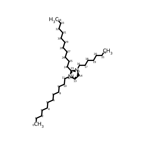 CCCCCCCCCCCC[n+]1ccn(CCCCCCC)c1CCCCCCCCCCC